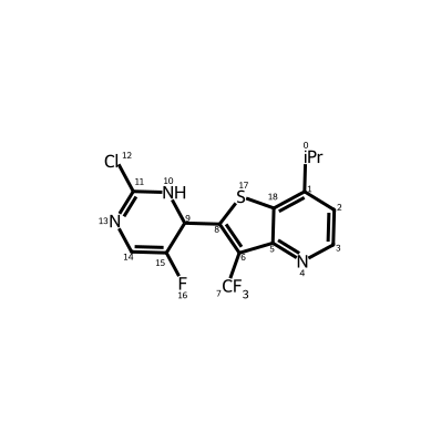 CC(C)c1ccnc2c(C(F)(F)F)c(C3NC(Cl)=NC=C3F)sc12